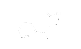 CC(=O)N(c1ccccc1)C1CNC1=O